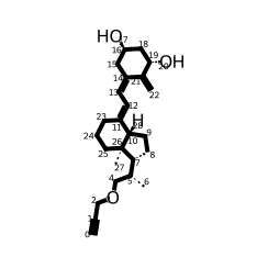 C#CCOC[C@@H](C)[C@H]1CC[C@H]2/C(=C/C=C3/C[C@@H](O)C[C@H](O)C3=C)CCC[C@]12C